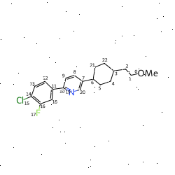 COCCC1CCC(c2ccc(-c3ccc(Cl)c(F)c3)nc2)CC1